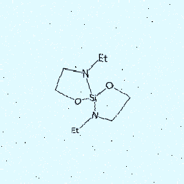 CCN1CCO[Si]12OCCN2CC